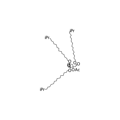 CC(=O)OC(CC(=O)OCCCCCCCCCCCCCCC(C)C)(CC(=O)OCCCCCCCCCCCCCCC(C)C)C(=O)OCCCCCCCCCCCCCCC(C)C